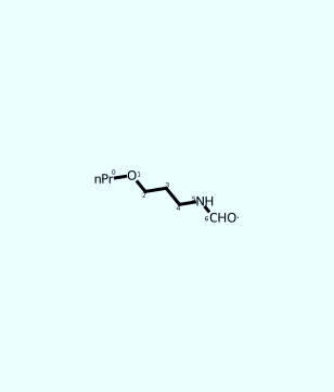 CCCOCCCN[C]=O